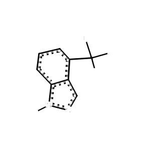 Cn1ncc2c(C(F)(F)F)cccc21